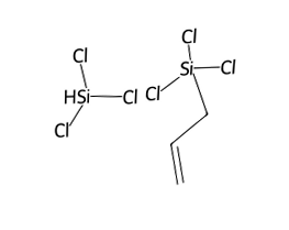 C=CC[Si](Cl)(Cl)Cl.Cl[SiH](Cl)Cl